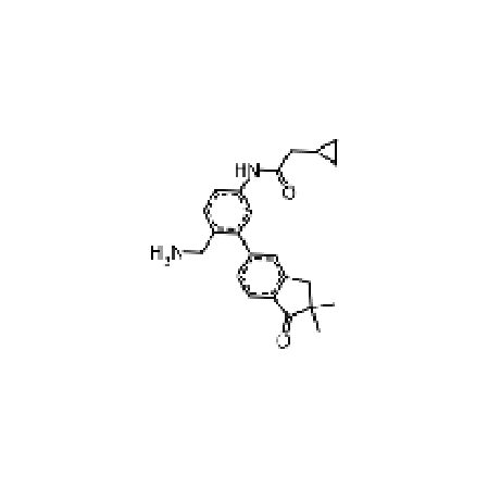 CC1(C)Cc2cc(-c3cc(NC(=O)CC4CC4)ccc3CN)ccc2C1=O